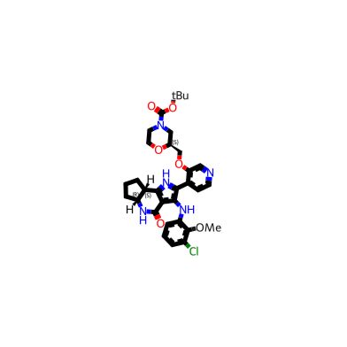 COc1c(Cl)cccc1Nc1c(-c2ccncc2OC[C@@H]2CN(C(=O)OC(C)(C)C)CCO2)[nH]c2c1C(=O)N[C@@H]1CCC[C@H]21